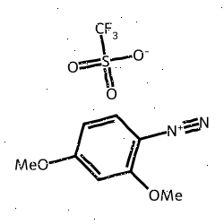 COc1ccc([N+]#N)c(OC)c1.O=S(=O)([O-])C(F)(F)F